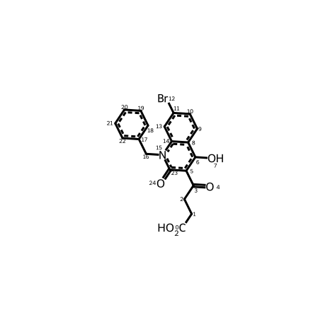 O=C(O)CCC(=O)c1c(O)c2ccc(Br)cc2n(Cc2ccccc2)c1=O